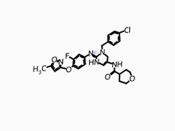 Cc1cc(Oc2ccc(/N=C3\NC=C(NC(=O)C4CCOCC4)CN3Cc3ccc(Cl)cc3)cc2F)no1